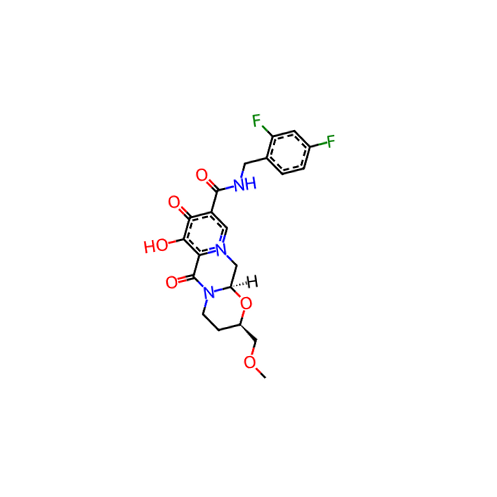 COC[C@H]1CCN2C(=O)c3c(O)c(=O)c(C(=O)NCc4ccc(F)cc4F)cn3C[C@H]2O1